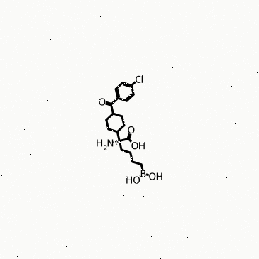 N[C@@](CCCCB(O)O)(C(=O)O)C1CCC(C(=O)c2ccc(Cl)cc2)CC1